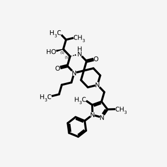 CCCCN1C(=O)[C@H]([C@@H](O)C(C)C)NC(=O)C12CCN(Cc1c(C)nn(-c3ccccc3)c1C)CC2